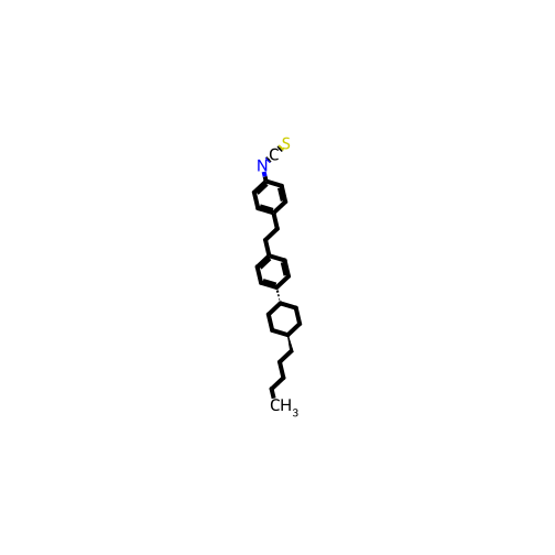 CCCCC[C@H]1CC[C@H](c2ccc(CCc3ccc(N=C=S)cc3)cc2)CC1